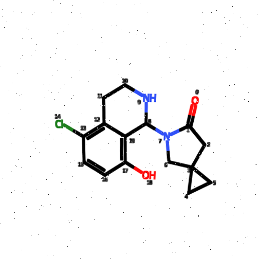 O=C1CC2(CC2)CN1C1NCCc2c(Cl)ccc(O)c21